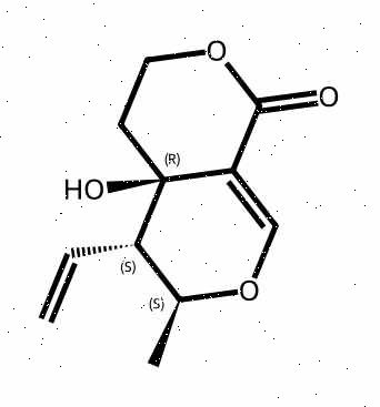 C=C[C@H]1[C@H](C)OC=C2C(=O)OCC[C@]21O